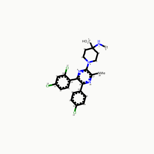 CCNC1(C(=O)O)CCN(c2nc(-c3ccc(Cl)cc3Cl)c(-c3ccc(Cl)cc3)nc2NC)CC1